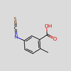 Cc1ccc(N=C=S)cc1C(=O)O